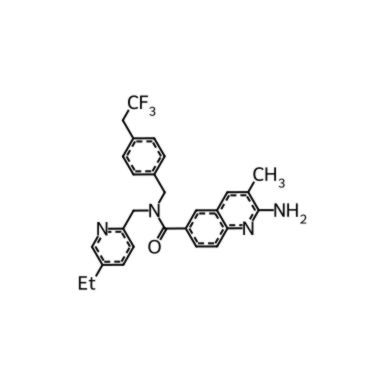 CCc1ccc(CN(Cc2ccc(CC(F)(F)F)cc2)C(=O)c2ccc3nc(N)c(C)cc3c2)nc1